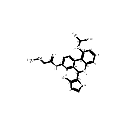 COCC(=O)Nc1ccc2c(c1)C(c1sccc1Br)Oc1cccc(OC(F)F)c1-2